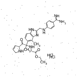 CCOC(=O)CNC(C)(C(=O)C1C=CCN1)c1ccc2[nH]c(CNc3ccc(C(=N)N)cc3)nc2c1C.Cl.Cl